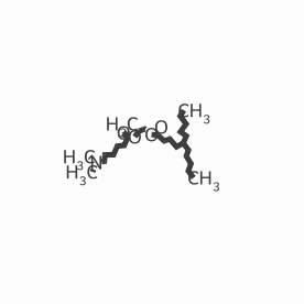 CCCCCC(CCCCC)CCCC(=O)OCC(C)OC(=O)CCCCCN(C)C